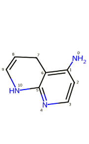 Nc1ccnc2c1CC=CN2